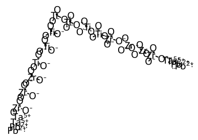 [O]=[Ti]([O-])[O-].[O]=[Ti]([O-])[O-].[O]=[Ti]([O-])[O-].[O]=[Ti]([O-])[O-].[O]=[Ti]([O-])[O-].[O]=[Ti]([O-])[O-].[O]=[Ti]([O-])[O-].[O]=[Zr]([O-])[O-].[O]=[Zr]([O-])[O-].[O]=[Zr]([O-])[O-].[O]=[Zr]([O-])[O-].[O]=[Zr]([O-])[O-].[O]=[Zr]([O-])[O-].[O]=[Zr]([O-])[O-].[Pb+2].[Pb+2].[Pb+2].[Pb+2].[Ta+5].[Ta+5].[Ta+5].[Ta+5]